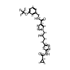 O=C(NCc1cccc(OC(F)(F)F)c1)c1cn(CC(F)CCc2nnc(NC(=O)C3CC3)s2)nn1